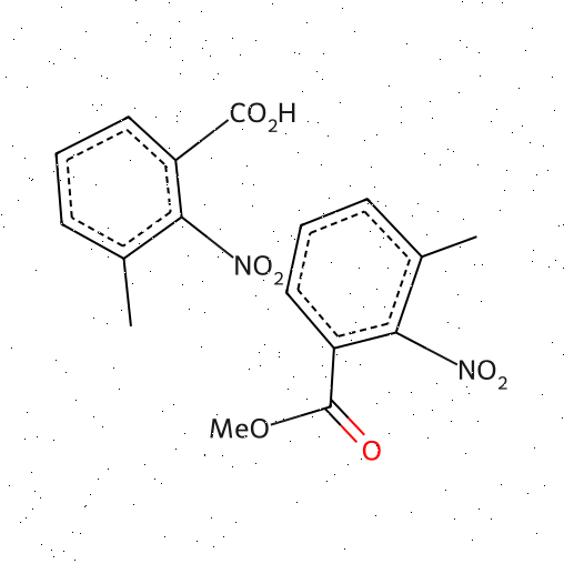 COC(=O)c1cccc(C)c1[N+](=O)[O-].Cc1cccc(C(=O)O)c1[N+](=O)[O-]